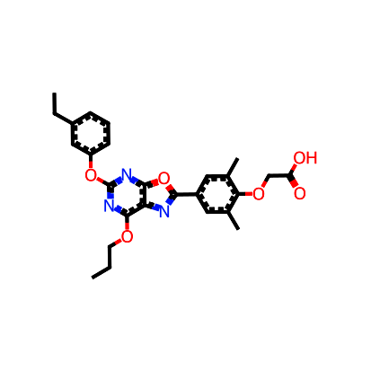 CCCOc1nc(Oc2cccc(CC)c2)nc2oc(-c3cc(C)c(OCC(=O)O)c(C)c3)nc12